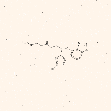 COCCNCCC(Oc1cccc2c1OCO2)c1ccc(Br)s1